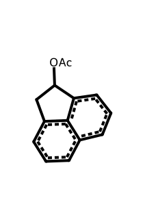 CC(=O)OC1Cc2cccc3cccc1c23